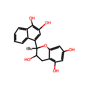 CC(C)(C)C1(c2cc(O)c(O)c3ccccc23)Oc2cc(O)cc(O)c2CC1O